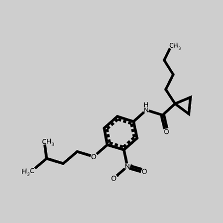 CCCCC1(C(=O)Nc2ccc(OCCC(C)C)c([N+](=O)[O-])c2)CC1